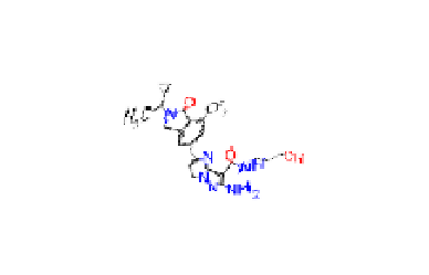 C[C@@H](C1CC1)N1Cc2cc(-c3ccn4nc(N)c(C(=O)NCCCO)c4n3)cc(C(F)(F)F)c2C1=O